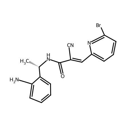 C[C@H](NC(=O)/C(C#N)=C/c1cccc(Br)n1)c1ccccc1N